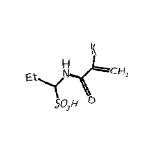 C=[C]([K])C(=O)NC(CC)S(=O)(=O)O